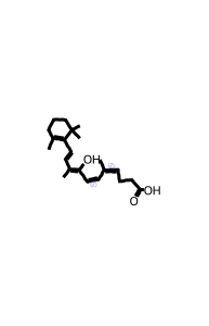 CC(C=CC1=C(C)CCCC1(C)C)=C(O)/C=C\C(C)=C/CCC(=O)O